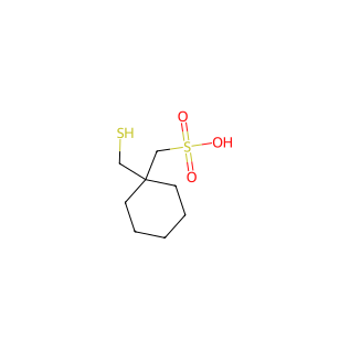 O=S(=O)(O)CC1(CS)CCCCC1